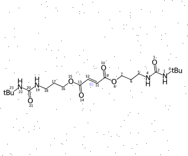 CC(C)(C)NC(=O)NCCCOC(=O)/C=C/C(=O)OCCCNC(=O)NC(C)(C)C